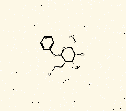 CCC[C@H]1C(Oc2ccccc2)O[C@H](CO)[C@H](O)[C@@H]1O